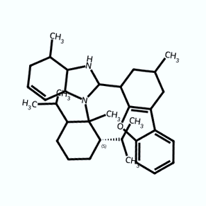 CC1Cc2c(oc3ccccc23)C(C2NC3C(C)CC=CC3N2C2(C)C(C(C)C)CCC[C@H]2C(C)C)C1